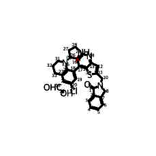 O=C1c2ccccc2CN1Cc1cc2nccc(-c3cc(Cl)cc4c3N([C@H]3CCNC3)CCC4)c2s1.O=CO